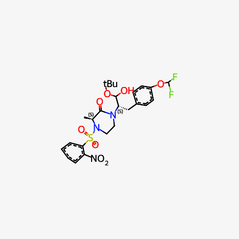 C[C@H]1C(=O)N([C@@H](Cc2ccc(OC(F)F)cc2)C(O)OC(C)(C)C)CCN1S(=O)(=O)c1ccccc1[N+](=O)[O-]